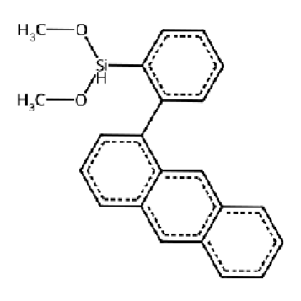 CO[SiH](OC)c1ccccc1-c1cccc2cc3ccccc3cc12